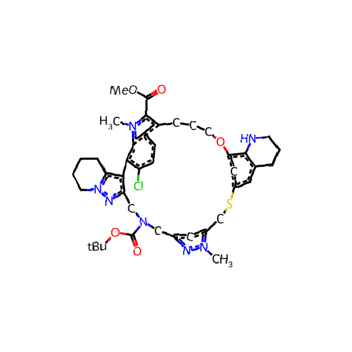 COC(=O)c1c2c3ccc(Cl)c(c3n1C)-c1c(nn3c1CCCC3)CN(C(=O)OC(C)(C)C)Cc1cc(n(C)n1)CSc1cc3c(c(c1)OCCC2)NCCC3